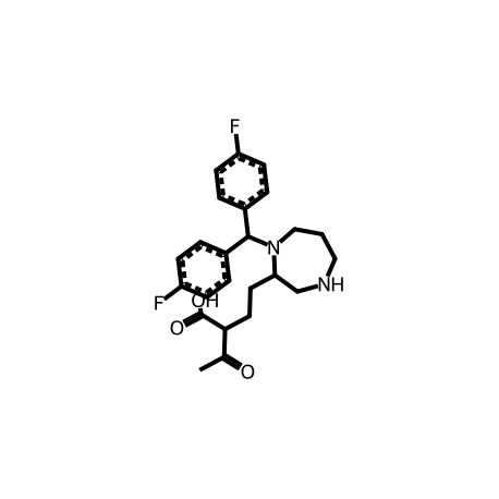 CC(=O)C(CCC1CNCCCN1C(c1ccc(F)cc1)c1ccc(F)cc1)C(=O)O